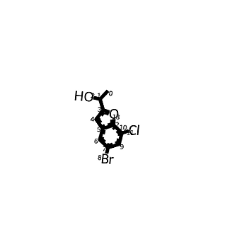 CC(O)c1cc2cc(Br)cc(Cl)c2o1